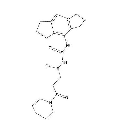 O=C(Nc1c2c(cc3c1CCC3)CCC2)N[S+]([O-])CCC(=O)N1CCCCC1